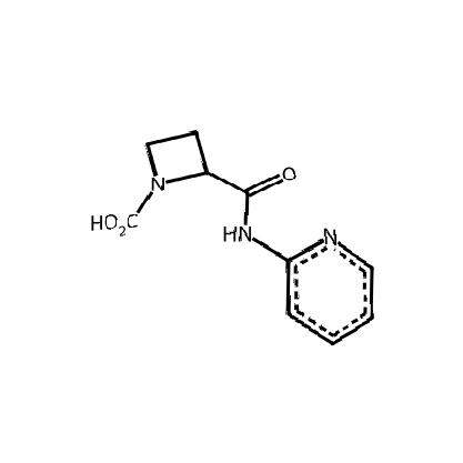 O=C(Nc1ccccn1)C1CCN1C(=O)O